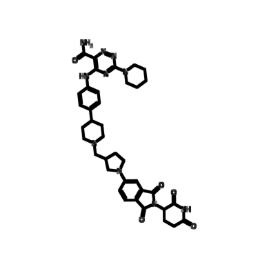 NC(=O)c1nnc(N2CCCCC2)nc1Nc1ccc(C2CCN(CC3CCN(c4ccc5c(c4)C(=O)N(C4CCC(=O)NC4=O)C5=O)C3)CC2)cc1